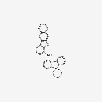 c1ccc2c(c1)-c1c(Nc3cccc4c3oc3cc5ccccc5cc34)cccc1C21CCCCC1